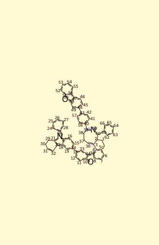 CCC1/C(c2cccc3oc4ccc(-c5ccc6c(c5)c5c(n6-c6ccccc6)CCC=C5)cc4c23)=C\CC/C(c2ccc(-c3ccc4c(c3)oc3ccccc34)cc2)=N\C1c1ccccc1